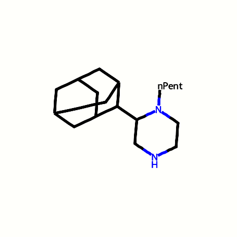 CCCCCN1CCNCC1C1C2CC3CC(C2)CC1C3